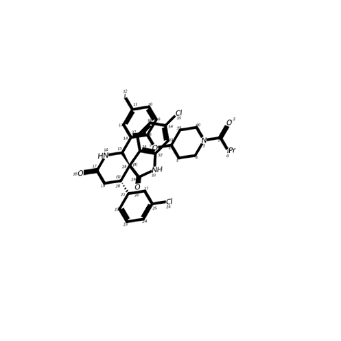 CC(C)C(=O)N1CCC(Oc2ccc(I)cc2C2NC(=O)C[C@@H](C3C=CC=C(Cl)C3)[C@]23C(=O)Nc2cc(Cl)ccc23)CC1